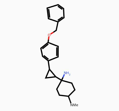 CNC1CCC(N)(C2CC2c2ccc(OCc3ccccc3)cc2)CC1